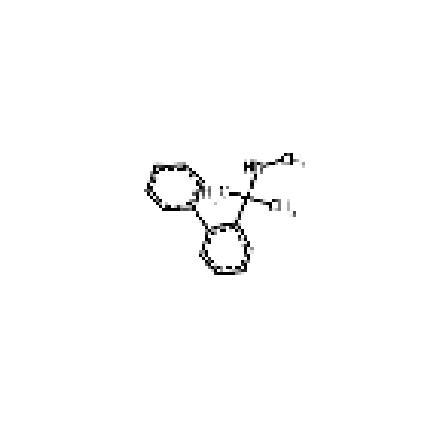 CNC(C)(C)c1ccccc1-c1ccccc1